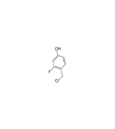 Oc1ccc(CCl)c(F)c1